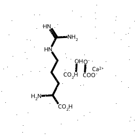 N=C(N)NCCCC(N)C(=O)O.O=C(O)O.O=C([O-])[O-].[Ca+2]